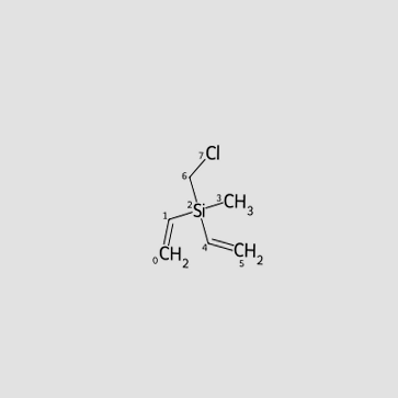 C=C[Si](C)(C=C)CCl